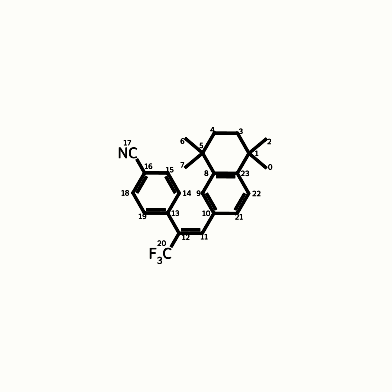 CC1(C)CCC(C)(C)c2cc(C=C(c3ccc(C#N)cc3)C(F)(F)F)ccc21